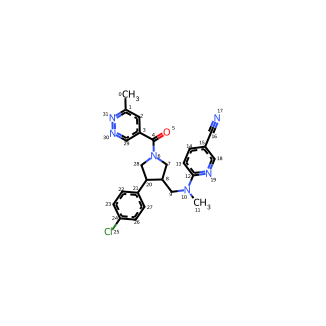 Cc1cc(C(=O)N2CC(CN(C)c3ccc(C#N)cn3)C(c3ccc(Cl)cc3)C2)cnn1